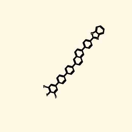 Fc1cc(-c2ccc(-c3ccc(-c4ccc5cc(-c6ccc(-c7nc8ccccc8o7)cc6)ccc5c4)cc3)cc2)cc(F)c1F